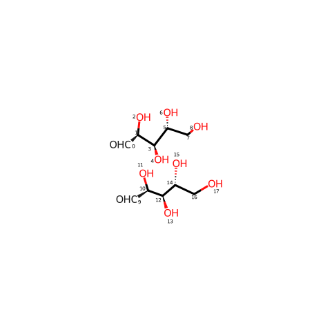 O=C[C@@H](O)[C@H](O)[C@H](O)CO.O=C[C@@H](O)[C@H](O)[C@H](O)CO